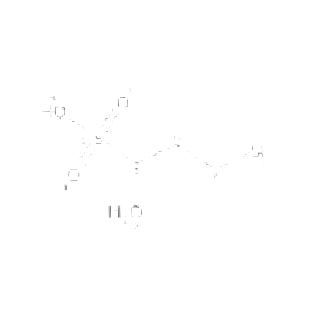 O.O=S(=O)(O)CCCS